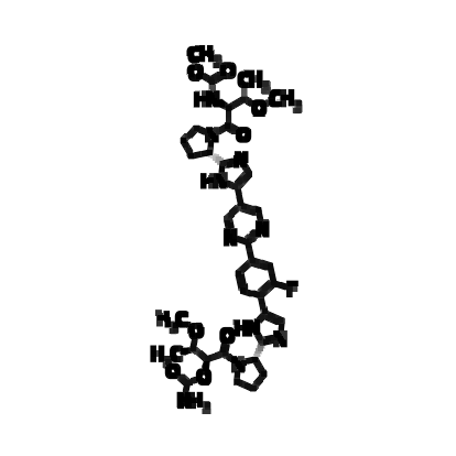 COC(=O)N[C@H](C(=O)N1CCC[C@H]1c1ncc(-c2cnc(-c3ccc(-c4cnc([C@@H]5CCCN5C(=O)[C@@H](OC(N)=O)[C@@H](C)OC)[nH]4)c(F)c3)nc2)[nH]1)C(C)OC